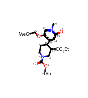 CCOC(=O)C1CN(C(=O)OC(C)(C)C)CCC1c1cc(=O)n(C)cc1OCOC